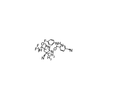 C[C@]1(C#N)C[C@H]2[C@H](C(F)(F)F)OC[C@@]2(c2cc(NC(=O)c3ccc(C#N)cn3)ccc2F)N=C1N